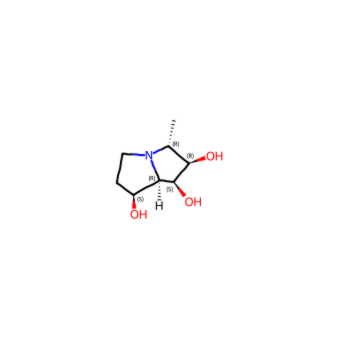 C[C@@H]1[C@@H](O)[C@@H](O)[C@H]2[C@@H](O)CCN21